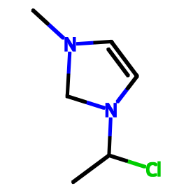 CC(Cl)N1C=CN(C)C1